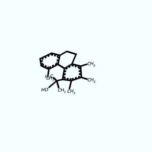 Cc1cccc2c1-c1c(c(C)c(C)c(C)c1C(C)(C)O)CC2